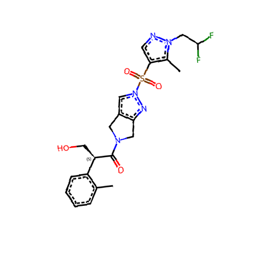 Cc1ccccc1[C@@H](CO)C(=O)N1Cc2cn(S(=O)(=O)c3cnn(CC(F)F)c3C)nc2C1